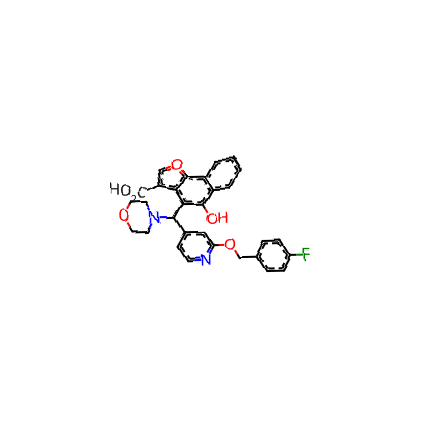 O=C(O)c1coc2c1c(C(c1ccnc(OCc3ccc(F)cc3)c1)N1CCOCC1)c(O)c1ccccc12